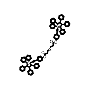 O=C(CCSCCC(=O)Oc1ccc(C#C[Si]2(c3ccccc3)C(c3ccccc3)C(c3ccccc3)C(c3ccccc3)C2c2ccccc2)cc1)Oc1ccc(C#C[Si]2(c3ccccc3)C(c3ccccc3)C(c3ccccc3)C(c3ccccc3)C2c2ccccc2)cc1